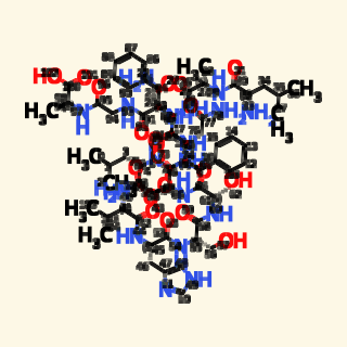 CC(C)C[C@H](NC(=O)[C@H](Cc1ccccc1)NC(=O)[C@H](CC(N)=O)NC(=O)[C@H](C)NC(=O)[C@@H](N)CC(C)C)C(=O)N[C@H](C(=O)N[C@@H](Cc1c[nH]cn1)C(=O)N[C@@H](CO)C(=O)N[C@@H](CO)C(=O)N[C@@H](CC(N)=O)C(=O)N[C@@H](CC(N)=O)C(=O)N[C@@H](Cc1ccccc1)C(=O)NCC(=O)N[C@@H](C)C(=O)O)C(C)C